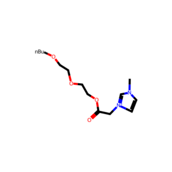 CCCCOCCOCCOC(=O)C[n+]1ccn(C)c1